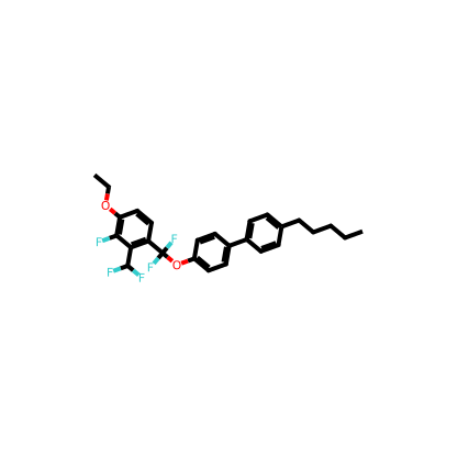 CCCCCc1ccc(-c2ccc(OC(F)(F)c3ccc(OCC)c(F)c3C(F)F)cc2)cc1